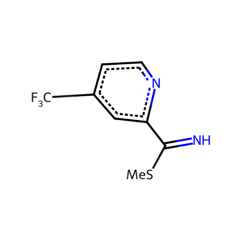 CSC(=N)c1cc(C(F)(F)F)ccn1